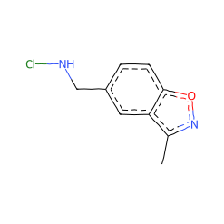 Cc1noc2ccc(CNCl)cc12